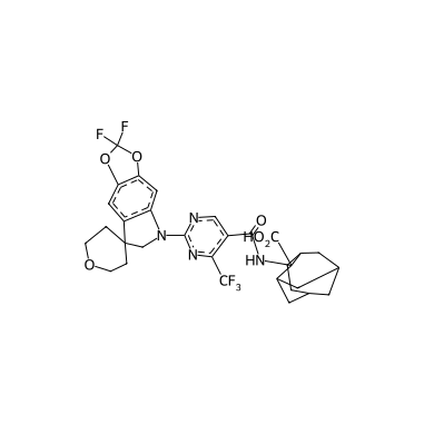 O=C(NC1(C(=O)O)C2CCC3CC(C2)CC1C3)c1cnc(N2CC3(CCOCC3)c3cc4c(cc32)OC(F)(F)O4)nc1C(F)(F)F